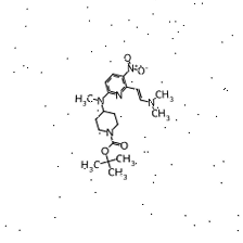 CN(C)/C=C/c1nc(N(C)C2CCN(C(=O)OC(C)(C)C)CC2)ccc1[N+](=O)[O-]